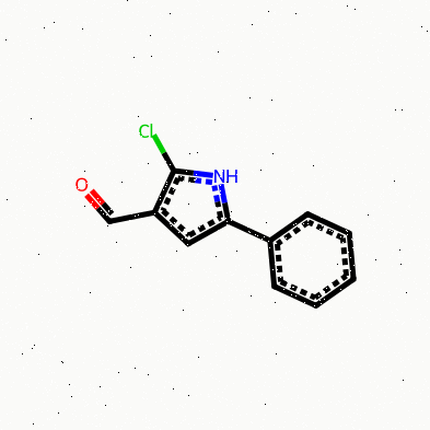 O=Cc1cc(-c2ccccc2)[nH]c1Cl